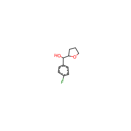 OC(c1ccc(F)cc1)C1CCCO1